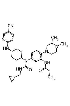 C=CC(=O)Nc1cc(N(C(=O)NCC2CC2)C2CCC(Nc3ccc(C#N)cn3)CC2)ccc1N1CCN(C)[C@@H](C)C1